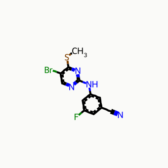 CSc1nc(Nc2cc(F)cc(C#N)c2)ncc1Br